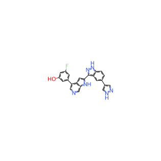 Oc1cc(F)cc(-c2cncc3[nH]c(-c4n[nH]c5ccc(-c6cn[nH]c6)cc45)cc23)c1